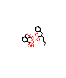 CCCCC(Cc1ccccc1)C(=O)OC.O=C(O)c1cccc2c1C(=O)OC2